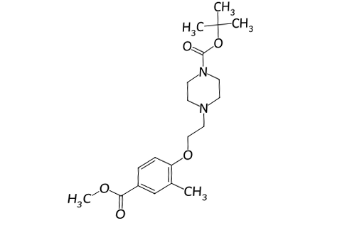 COC(=O)c1ccc(OCCN2CCN(C(=O)OC(C)(C)C)CC2)c(C)c1